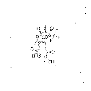 COC(=O)C1C2CC3C(OS(=O)(=O)C31)C2OS(=O)(=O)NS(=O)(=O)C(F)(F)F